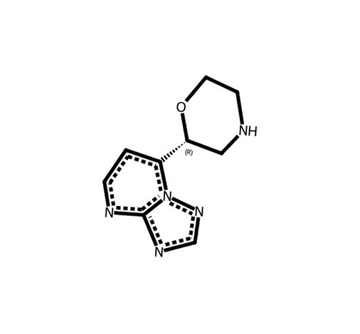 c1cc([C@H]2CNCCO2)n2ncnc2n1